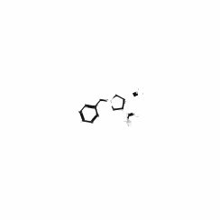 N#C[C@H]1CN(Cc2ccccc2)C[C@H]1C(N)=O